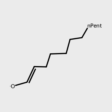 CCCCCCCCCCC=C[O]